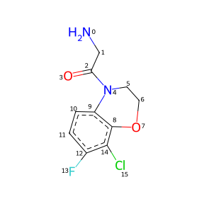 NCC(=O)N1CCOc2c1ccc(F)c2Cl